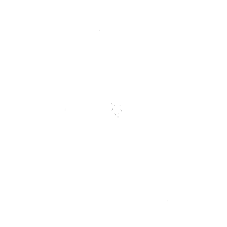 CCCCCCCCCCCCCCCn1cc[n+](CCCCCCCCCCCCC)c1CCCCCCC